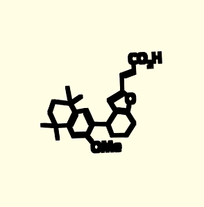 COc1cc2c(cc1C1CCCc3oc(C=CC(=O)O)cc31)C(C)(C)CCC2(C)C